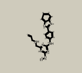 C=CCNCc1nc(Nc2ccc(-c3nc4ccccc4o3)cc2)nc(OCC)n1